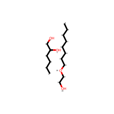 CCCCC(O)CO.CCCCCCCCOCCO